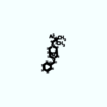 CC(=O)C(C)(C)CN1CC2CN(Cc3ccccc3)CC(C1)O2